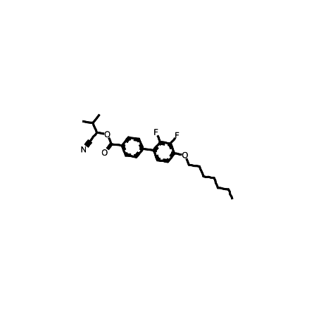 CCCCCCCOc1ccc(-c2ccc(C(=O)OC(C#N)C(C)C)cc2)c(F)c1F